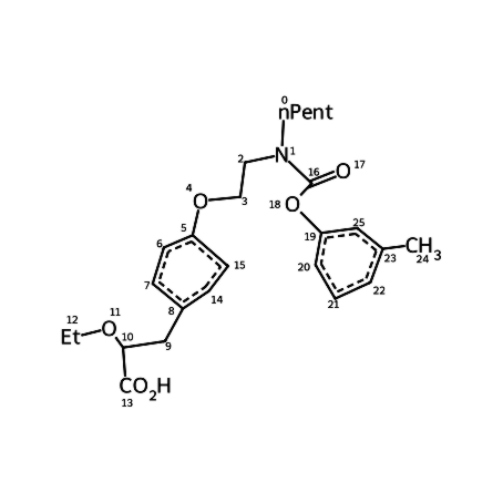 CCCCCN(CCOc1ccc(CC(OCC)C(=O)O)cc1)C(=O)Oc1cccc(C)c1